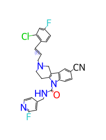 N#Cc1ccc2c(c1)c1c(n2C(=O)NCc2ccnc(F)c2)CCN(C/C=C/c2ccc(F)cc2Cl)C1